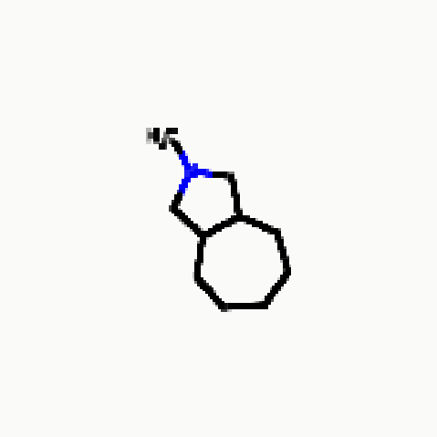 CN1CC2CCCCCC2C1